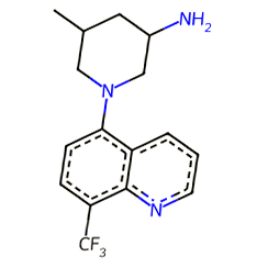 CC1CC(N)CN(c2ccc(C(F)(F)F)c3ncccc23)C1